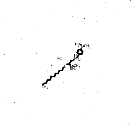 CCCCCCCCCCCCCCC(CCNC(=O)c1ccc(N(C)C)cc1)N(C)C.Cl